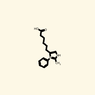 Cc1[nH]cc(CCCCCC(=O)O)[n+]1-c1ccccc1